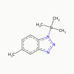 Cc1ccc2c(c1)nnn2[Si](C)(C)C